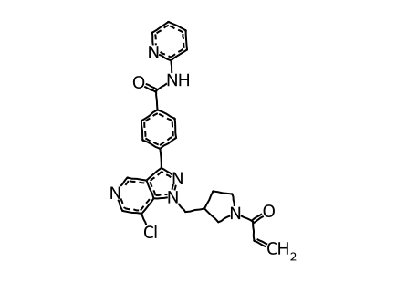 C=CC(=O)N1CCC(Cn2nc(-c3ccc(C(=O)Nc4ccccn4)cc3)c3cncc(Cl)c32)C1